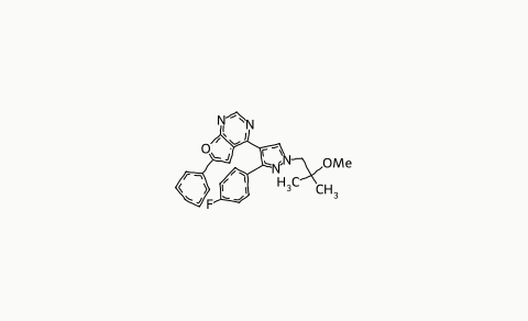 COC(C)(C)Cn1cc(-c2ncnc3oc(-c4ccccc4)cc23)c(-c2ccc(F)cc2)n1